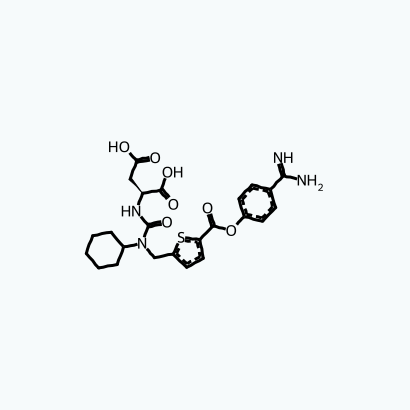 N=C(N)c1ccc(OC(=O)c2ccc(CN(C(=O)N[C@@H](CC(=O)O)C(=O)O)C3CCCCC3)s2)cc1